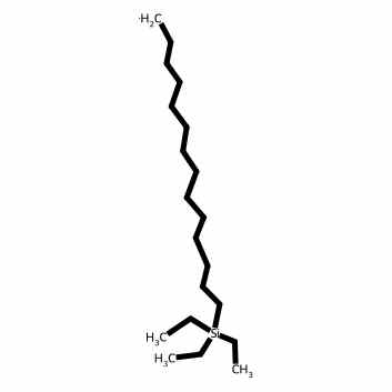 [CH2]CCCCCCCCCCCCC[Si](CC)(CC)CC